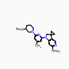 COC1CCCN(c2cc(C)cc(N3CC4(CC4)c4cnc(NC(C)=O)cc43)n2)C1